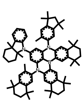 Cc1cc2c(cc1N1c3cc4c(cc3B3c5cc6c(cc5N(c5cc7c(cc5C)C(C)(C)CC7(C)C)c5cc(N7c8ccccc8C8(C)CCCCC78C)cc1c53)C(C)(C)CCC6(C)C)C(C)(C)CCC4(C)C)C(C)(C)CCC2(C)C